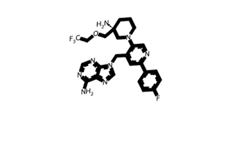 Nc1ncnc2c1ncn2Cc1cc(-c2ccc(F)cc2)ncc1N1CCC[C@](N)(COCC(F)(F)F)C1